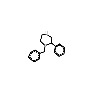 [c]1ccccc1C1CNCCN1Cc1ccccc1